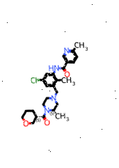 Cc1ccc(C(=O)Nc2cc(Cl)cc(CN3CCN(C(=O)[C@H]4CCCOC4)[C@@H](C)C3)c2C)cn1